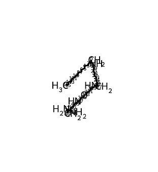 C=C(CCCCCCCCCCCCCCC)NCCCCCCCCC(=C)NCCCCCOCCCNCCCCC(N)C(=C)N